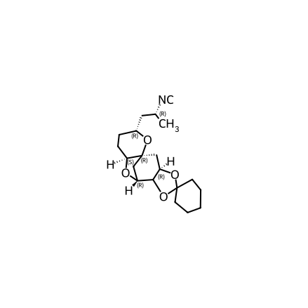 [C-]#[N+][C@H](C)C[C@H]1CC[C@@H]2O[C@@H]3C[C@]2(C[C@H]2OC4(CCCCC4)OC32)O1